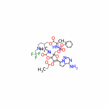 CCC(=O)O[C@H]1[C@H](c2ccc3c(N)ncnn23)O[C@](C#N)(CO[P@](=O)(N[C@@H](C)C(=O)OCC2CCN(CC(F)(F)F)CC2)Oc2ccccc2)[C@H]1OC(=O)CC